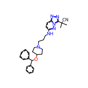 CC(C)(C#N)c1nnc2ccc(NCCCN3CCC(OC(c4ccccc4)c4ccccc4)CC3)nn12